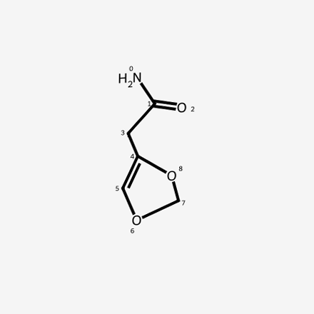 NC(=O)[CH]C1=COCO1